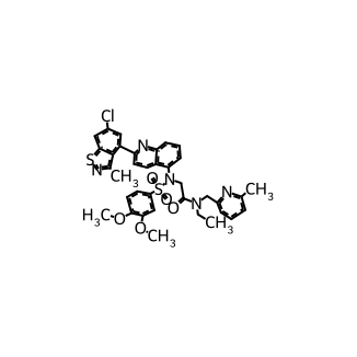 CCN(Cc1cccc(C)n1)C(=O)CN(c1cccc2nc(-c3cc(Cl)cc4snc(C)c34)ccc12)S(=O)(=O)c1ccc(OC)c(OC)c1